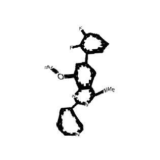 CCCCOc1cc(-c2cccc(F)c2F)cc2c(NC)nc(-c3cccnc3)nc12